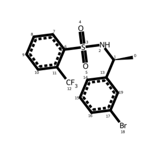 C[C@H](NS(=O)(=O)c1ccccc1C(F)(F)F)c1cccc(Br)c1